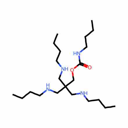 CCCCNCC(CNCCCC)(CNCCCC)COC(=O)NCCCC